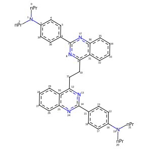 CCCN(CCC)c1ccc(-c2nc(CCc3nc(-c4ccc(N(CCC)CCC)cc4)nc4ccccc34)c3ccccc3n2)cc1